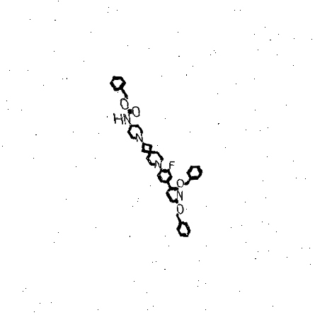 O=C(NC1CCN(C2CC3(CCN(c4ccc(-c5ccc(OCc6ccccc6)nc5OCc5ccccc5)cc4F)CC3)C2)CC1)OCc1ccccc1